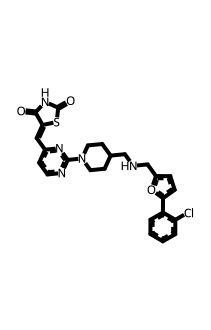 O=C1NC(=O)C(=Cc2ccnc(N3CCC(CNCc4ccc(-c5ccccc5Cl)o4)CC3)n2)S1